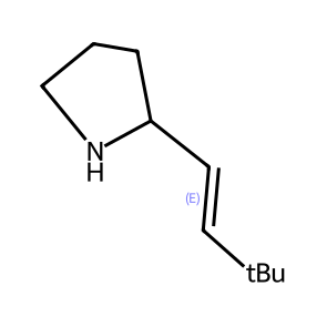 CC(C)(C)/C=C/C1CCCN1